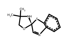 CC1(C)CO[C@]2(C=Nc3ccccc3S2)N1